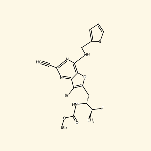 C#Cc1nc(NCc2cccs2)c2oc(C[C@@H](NC(=O)OC(C)(C)C)[C@H](C)F)c(Br)c2n1